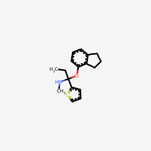 CCC(NC)(Oc1cccc2c1CCC2)c1cccs1